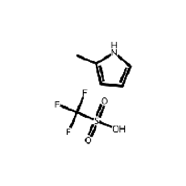 Cc1ccc[nH]1.O=S(=O)(O)C(F)(F)F